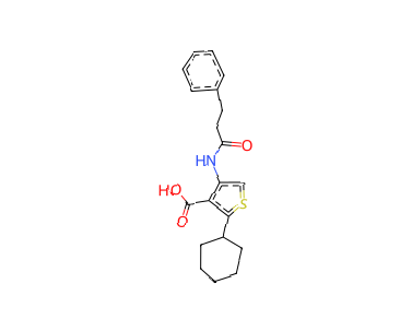 O=C(CCc1ccccc1)Nc1csc(C2CCCCC2)c1C(=O)O